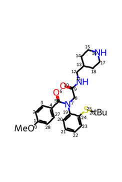 COc1ccc(C(=O)N(CC(=O)NCC2CCNCC2)c2ccccc2SC(C)(C)C)cc1